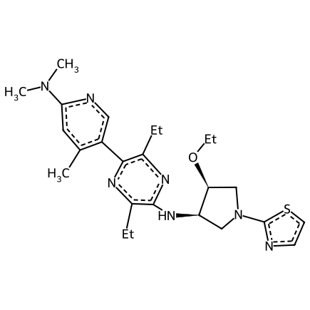 CCO[C@H]1CN(c2nccs2)C[C@H]1Nc1nc(CC)c(-c2cnc(N(C)C)cc2C)nc1CC